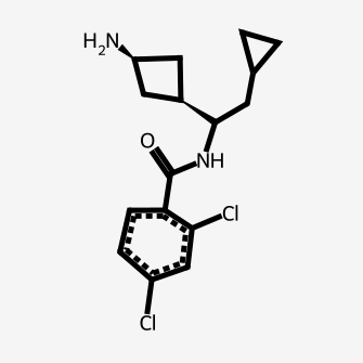 N[C@H]1C[C@@H](C(CC2CC2)NC(=O)c2ccc(Cl)cc2Cl)C1